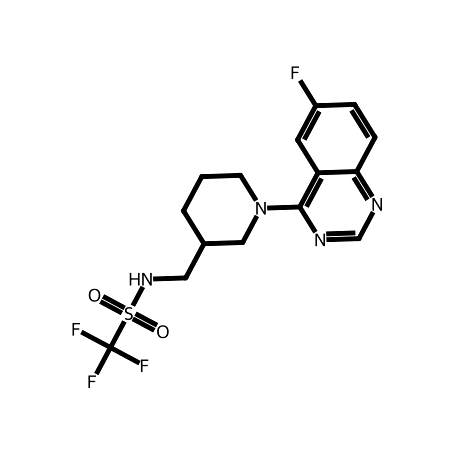 O=S(=O)(NCC1CCCN(c2ncnc3ccc(F)cc23)C1)C(F)(F)F